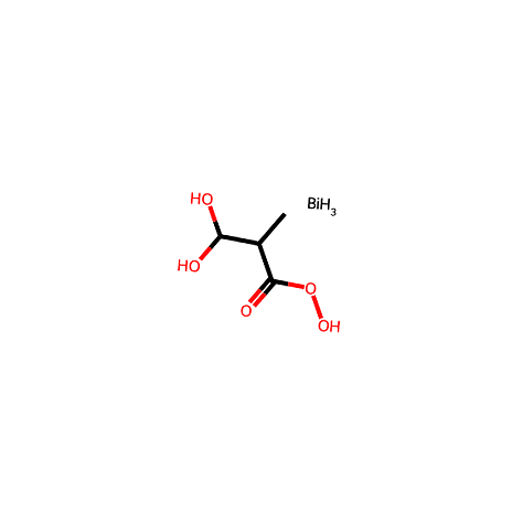 CC(C(=O)OO)C(O)O.[BiH3]